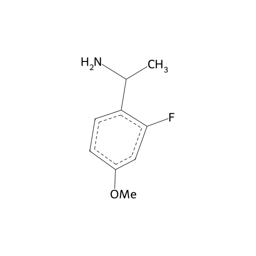 COc1ccc(C(C)N)c(F)c1